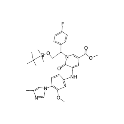 COC(=O)c1cc(Nc2ccc(-n3cnc(C)c3)c(OC)c2)c(=O)n(C(CO[Si](C)(C)C(C)(C)C)c2ccc(F)cc2)c1